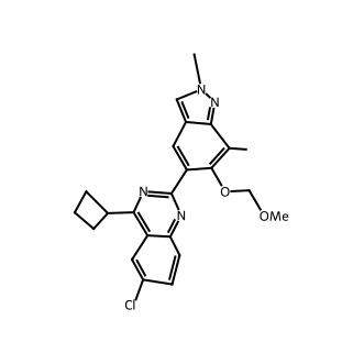 COCOc1c(-c2nc(C3CCC3)c3cc(Cl)ccc3n2)cc2cn(C)nc2c1C